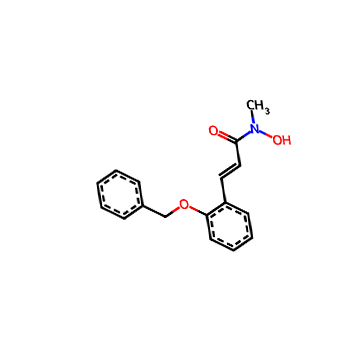 CN(O)C(=O)C=Cc1ccccc1OCc1ccccc1